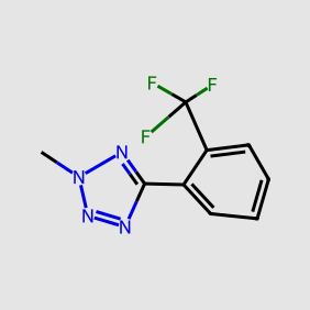 Cn1nnc(-c2ccccc2C(F)(F)F)n1